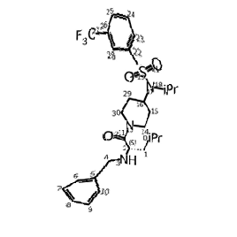 CC(C)C[C@H](NCc1ccccc1)C(=O)N1CCC(N(C(C)C)S(=O)(=O)c2cccc(C(F)(F)F)c2)CC1